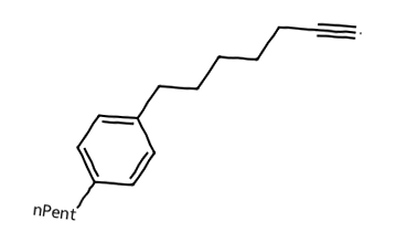 [C]#CCCCCCc1ccc(CCCCC)cc1